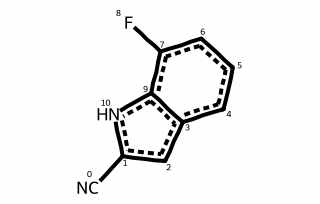 N#Cc1cc2cccc(F)c2[nH]1